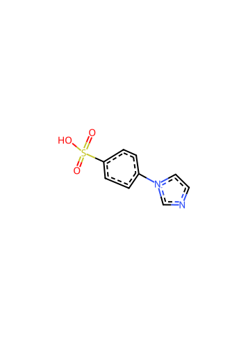 O=S(=O)(O)c1ccc(-n2ccnc2)cc1